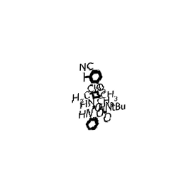 CC(C)(C)NC(=O)Oc1ccccc1NC(=O)N[C@H]1C(C)(C)[C@H](Oc2ccc(C#N)c(I)c2)C1(C)C